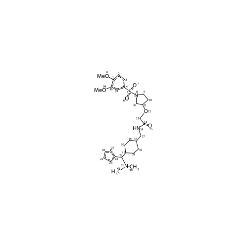 COc1ccc(S(=O)(=O)N2CCC(OCC(=O)NCC3CCC(C(c4cccs4)N(C)C)CC3)C2)cc1OC